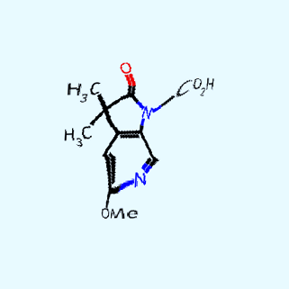 COc1cc2c(cn1)N(C(=O)O)C(=O)C2(C)C